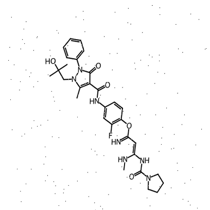 CN/C(=C\C(=N)Oc1ccc(NC(=O)c2c(C)n(CC(C)(C)O)n(-c3ccccc3)c2=O)cc1F)NC(=O)N1CCCC1